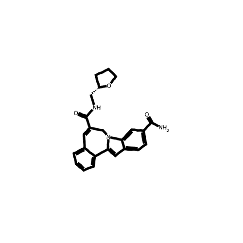 NC(=O)c1ccc2cc3n(c2c1)CC(C(=O)NC[C@@H]1CCCO1)=Cc1ccccc1-3